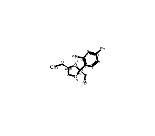 Fc1ccc([C@]2(CBr)OC[C@@H](CCl)O2)c(F)c1